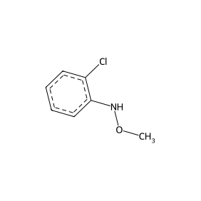 CONc1ccccc1Cl